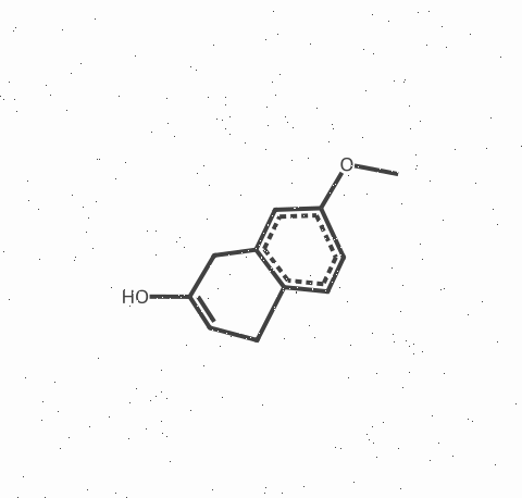 COc1ccc2c(c1)CC(O)=CC2